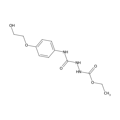 CCOC(=O)NNC(=O)Nc1ccc(OCCO)cc1